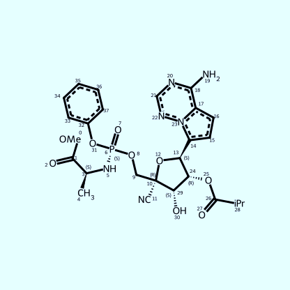 COC(=O)[C@H](C)N[P@](=O)(OC[C@@]1(C#N)O[C@@H](c2ccc3c(N)ncnn23)[C@H](OC(=O)C(C)C)[C@@H]1O)Oc1ccccc1